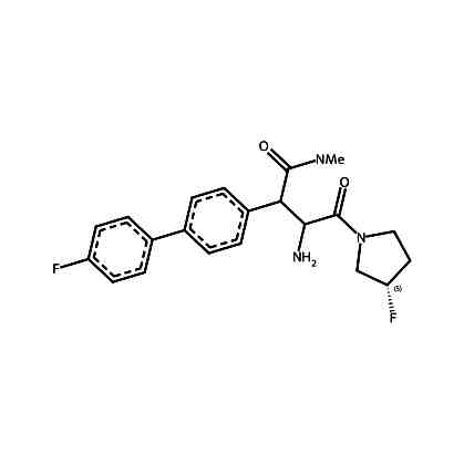 CNC(=O)C(c1ccc(-c2ccc(F)cc2)cc1)C(N)C(=O)N1CC[C@H](F)C1